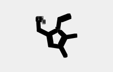 C=Cn1c(CC(F)(F)F)cc(C)c1C